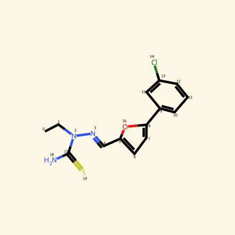 CCN(N=Cc1ccc(-c2cccc(Cl)c2)o1)C(N)=S